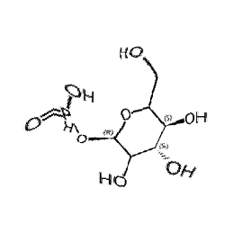 O=[PH](O)O[C@H]1OC(CO)[C@@H](O)[C@H](O)C1O